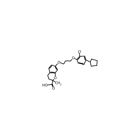 CC1(C(=O)O)CCc2ccc(OCCCOc3ccc(C4CCCC4)cc3Cl)cc2O1